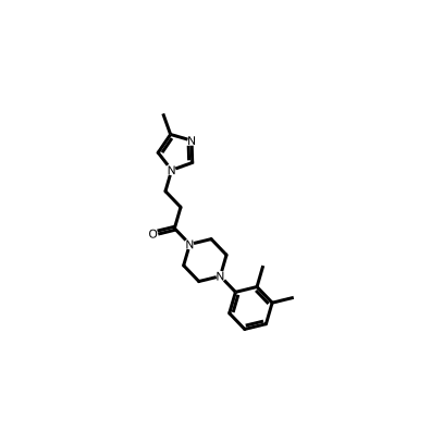 Cc1cn(CCC(=O)N2CCN(c3cccc(C)c3C)CC2)cn1